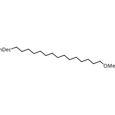 CCCCCCCCCCCCCCCCCCCCCCCC[CH]OC